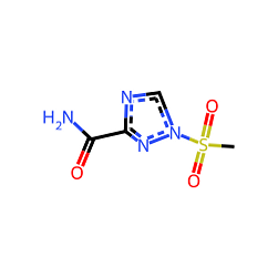 CS(=O)(=O)n1cnc(C(N)=O)n1